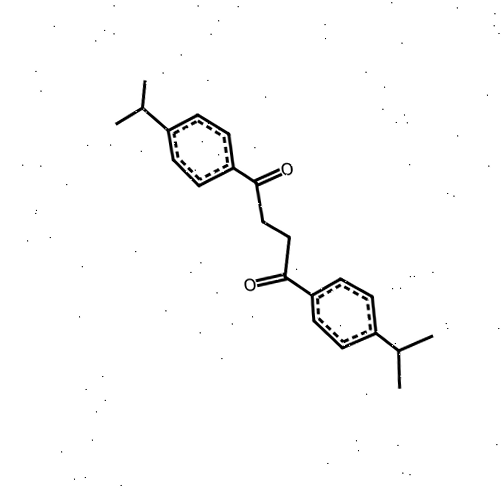 CC(C)c1ccc(C(=O)CCC(=O)c2ccc(C(C)C)cc2)cc1